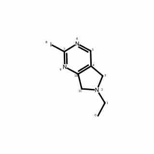 CCN1Cc2cnc(I)nc2C1